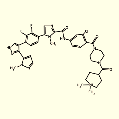 Cn1nccc1-c1n[nH]cc1-c1ccc(-c2cnc(C(=O)Nc3ccc(C(=O)N4CCN(C(=O)C5CC[N+](C)(C)CC5)CC4)c(Cl)c3)n2C)c(F)c1F